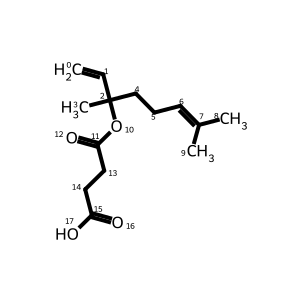 C=CC(C)(CCC=C(C)C)OC(=O)CCC(=O)O